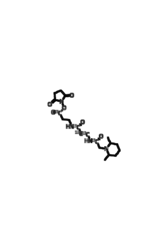 CC1CCCC(C)N1C[13C](=O)N[13CH2][13CH2][13C](=O)NCC[13C](=O)ON1C(=O)CCC1=O